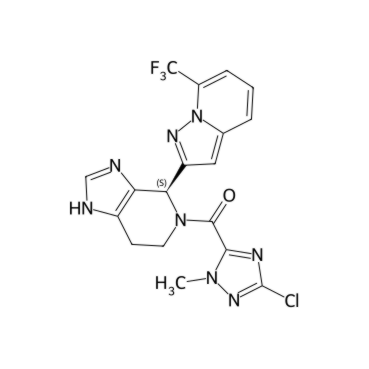 Cn1nc(Cl)nc1C(=O)N1CCc2[nH]cnc2[C@H]1c1cc2cccc(C(F)(F)F)n2n1